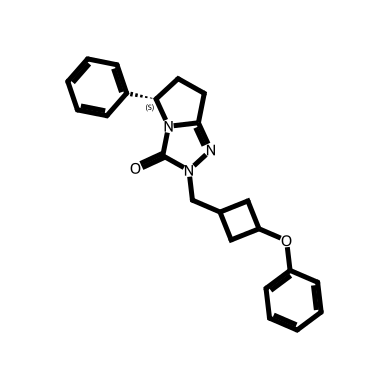 O=c1n(CC2CC(Oc3ccccc3)C2)nc2n1[C@H](c1ccccc1)CC2